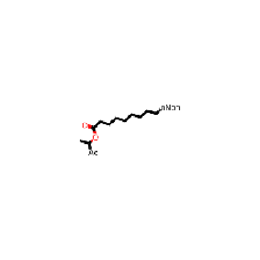 CCCCCCCCCCCCCCCCCC(=O)OC(C)C(C)=O